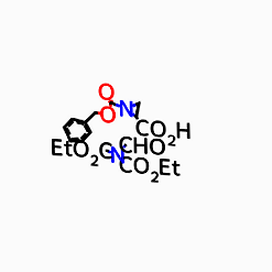 CCOC(=O)N(C=O)C(=O)OCC.O=C(O)C1CN1C(=O)OCc1ccccc1